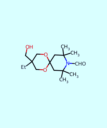 CCC1(CO)COC2(CC(C)(C)N(C=O)C(C)(C)C2)OC1